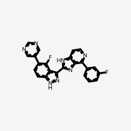 Fc1cccc(-c2nccc3[nH]c(-c4n[nH]c5ccc(-c6cncnc6)c(F)c45)nc23)c1